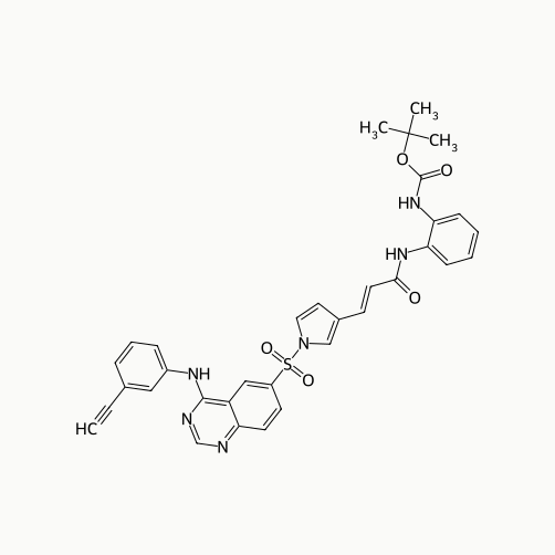 C#Cc1cccc(Nc2ncnc3ccc(S(=O)(=O)n4ccc(/C=C/C(=O)Nc5ccccc5NC(=O)OC(C)(C)C)c4)cc23)c1